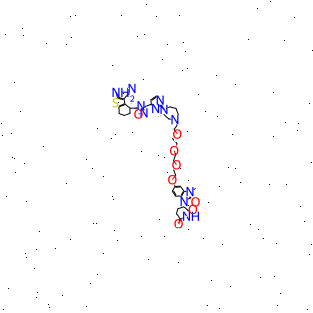 C[C@H]1CN(CCOCCOCCOCCOc2ccc3c(c2)n(C)c(=O)n3C2CCC(=O)NC2=O)CCCN1c1nccc(-c2noc([C@@]3(C)CCCc4sc(N)c(C#N)c43)n2)n1